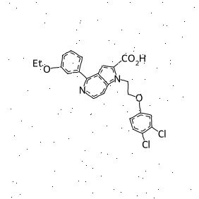 CCOc1cccc(-c2nccc3c2cc(C(=O)O)n3CCOc2ccc(Cl)c(Cl)c2)c1